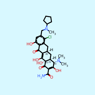 CN(Cc1cc(O)c2c(c1Cl)C[C@H]1C[C@H]3[C@H](N(C)C)C(O)=C(C(N)=O)C(=O)[C@@]3(O)C(O)=C1C2=O)C1CCCC1